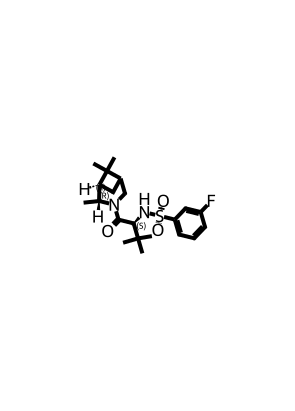 C[C@@H]1[C@@H]2CC(CN1C(=O)[C@@H](NS(=O)(=O)c1cccc(F)c1)C(C)(C)C)C2(C)C